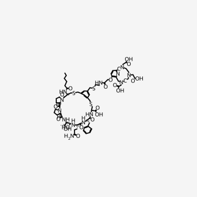 CCCCCC(=O)N[C@H]1CSCc2cc(CSCCNC(=O)COc3ccc4nc3CN(CC(=O)O)CCN(CC(=O)O)CCN(CC(=O)O)C4)cc(c2)CSCC(C(=O)O)NC(=O)[C@H](Cc2ccccc2)NC(=O)[C@H](CCC(N)=O)NC(O)[C@H]([C@@H](C)O)NC(=O)[C@@H]2CCCN2C(=O)[C@@H]2CCCN2C1=O